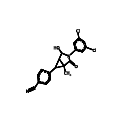 CC12C(=O)N(c3cc(Cl)cc(Cl)c3)C(O)C1C2c1ccc(C#N)cc1